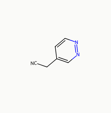 N#CCc1ccnnc1